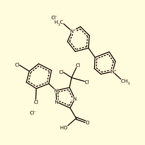 C[n+]1ccc(-c2cc[n+](C)cc2)cc1.O=C(O)c1nc(C(Cl)(Cl)Cl)n(-c2ccc(Cl)cc2Cl)n1.[Cl-].[Cl-]